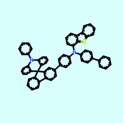 c1ccc(-c2ccc(N(c3ccc(-c4ccc5c(c4)C4(c6ccccc6-5)c5ccccc5N(c5ccccc5)c5ccccc54)cc3)c3cccc4c3sc3ccccc34)cc2)cc1